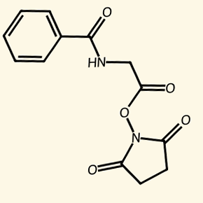 O=C(CNC(=O)c1ccccc1)ON1C(=O)CCC1=O